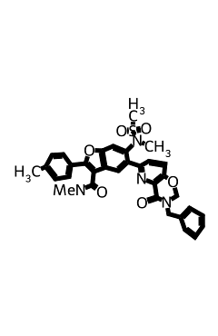 CNC(=O)c1c(-c2ccc(C)cc2)oc2cc(N(C)S(C)(=O)=O)c(-c3ccc4c(n3)C(=O)N(Cc3ccccc3)CO4)cc12